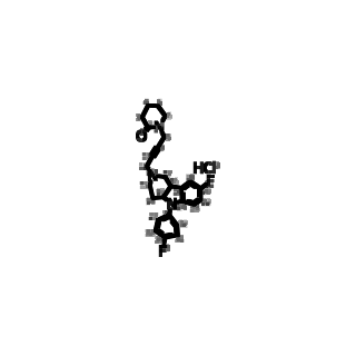 Cl.O=C1CCCCN1CC#CCN1CCC2C(C1)c1cc(F)ccc1N2c1ccc(F)cc1